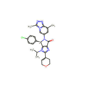 Cc1cc(N2C(=O)c3nc(C4=CCOCC4)n(C(C)C)c3[C@H]2c2ccc(Cl)cc2)cn2c(C)nnc12